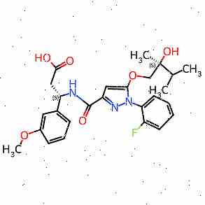 COc1cccc([C@H](CC(=O)O)NC(=O)c2cc(OC[C@@](C)(O)C(C)C)n(-c3ccccc3F)n2)c1